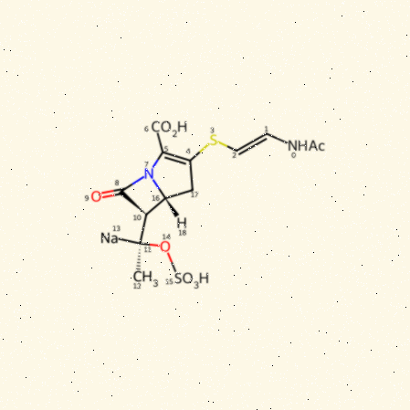 CC(=O)NC=CSC1=C(C(=O)O)N2C(=O)[C@H]([C@](C)([Na])OS(=O)(=O)O)[C@H]2C1